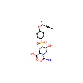 CC#CC(C)Oc1ccc(S(=O)(=O)C2CC(C(=O)O)N(C(N)=O)CC2O)cc1